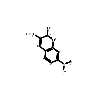 CCN(CC)c1ccc2c(c1)OC(C(F)(F)F)C(C(=O)O)=C2